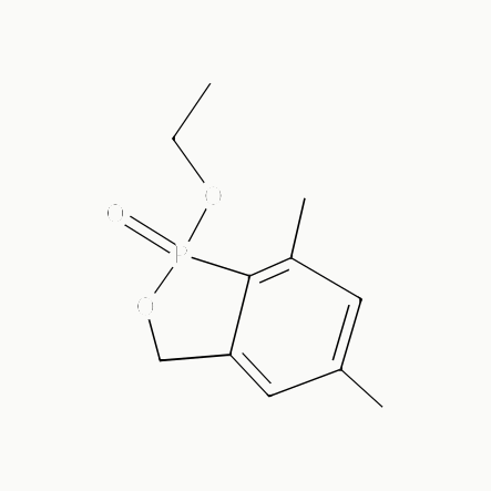 CCOP1(=O)OCc2cc(C)cc(C)c21